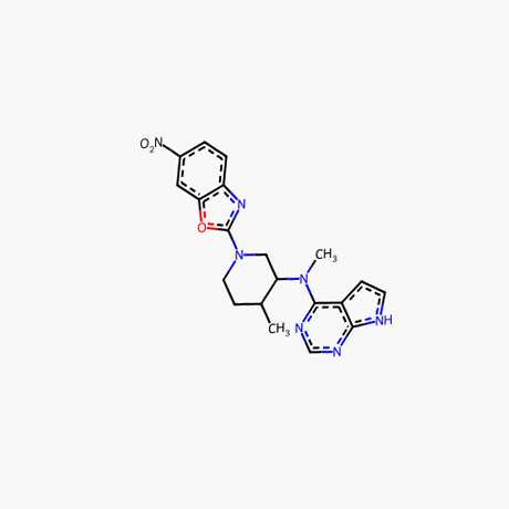 CC1CCN(c2nc3ccc([N+](=O)[O-])cc3o2)CC1N(C)c1ncnc2[nH]ccc12